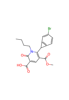 CCCCn1c(C2c3ccc(Br)cc32)c(C(=O)OC)cc(C(=O)O)c1=O